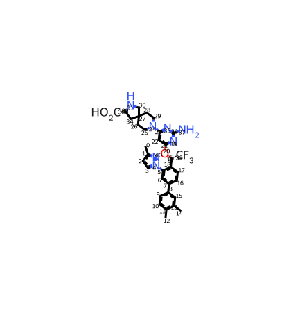 Cc1ccn(-c2cc(-c3ccc(C)c(C)c3)ccc2[C@H](Oc2cc(N3CCC4(CC3)CN[C@H](C(=O)O)C4)nc(N)n2)C(F)(F)F)n1